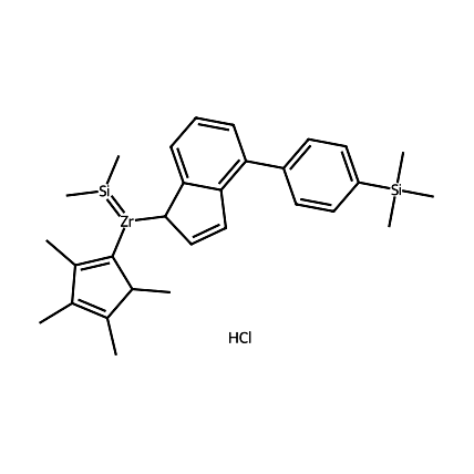 CC1=C(C)C(C)[C]([Zr]([CH]2C=Cc3c(-c4ccc([Si](C)(C)C)cc4)cccc32)=[Si](C)C)=C1C.Cl